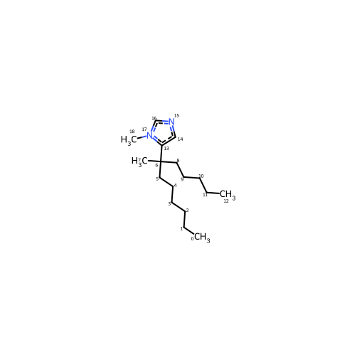 CCCCCCC(C)(CCCCC)c1cncn1C